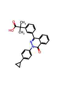 CC(C)(C(=O)O)c1cccc(-c2nn(-c3ccc(C4CC4)cc3)c(=O)c3ccccc23)c1